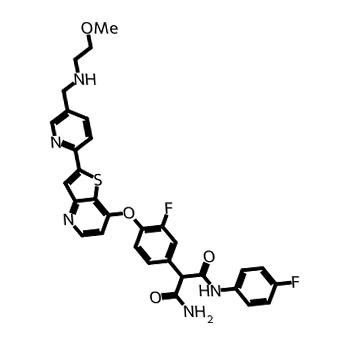 COCCNCc1ccc(-c2cc3nccc(Oc4ccc(C(C(N)=O)C(=O)Nc5ccc(F)cc5)cc4F)c3s2)nc1